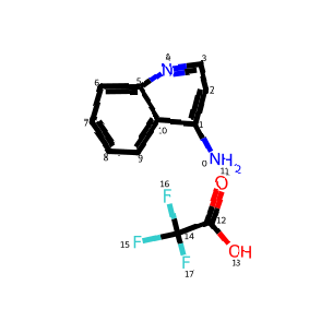 Nc1ccnc2ccccc12.O=C(O)C(F)(F)F